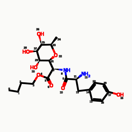 CCCCOC(=O)[C@@H](NC(=O)[C@@H](N)Cc1ccc(O)cc1)[C@@H]1O[C@H](C)[C@@H](O)[C@H](O)[C@H]1O